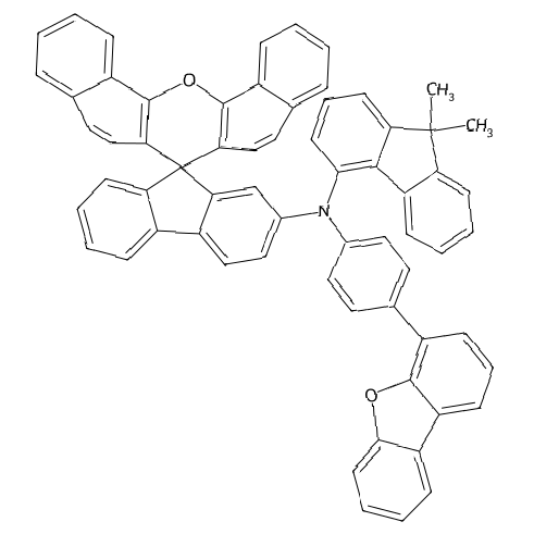 CC1(C)c2ccccc2-c2c(N(c3ccc(-c4cccc5c4oc4ccccc45)cc3)c3ccc4c(c3)C3(c5ccccc5-4)c4ccc5ccccc5c4Oc4c3ccc3ccccc43)cccc21